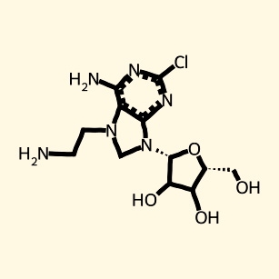 NCCN1CN([C@@H]2O[C@H](CO)C(O)C2O)c2nc(Cl)nc(N)c21